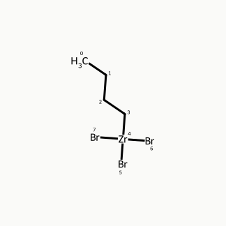 CCC[CH2][Zr]([Br])([Br])[Br]